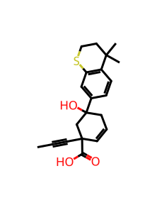 CC#CC1(C(=O)O)C=CCC(O)(c2ccc3c(c2)SCCC3(C)C)C1